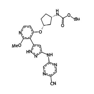 COc1nccc(O[C@@H]2CC[C@H](NC(=O)OC(C)(C)C)C2)c1-c1cc(Nc2cnc(C#N)cn2)n[nH]1